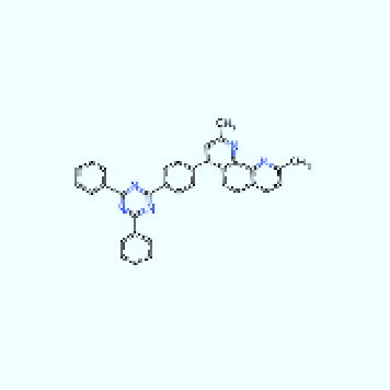 Cc1ccc2ccc3c(-c4ccc(-c5nc(-c6ccccc6)nc(-c6ccccc6)n5)cc4)cc(C)nc3c2n1